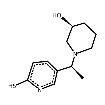 C[C@@H](c1ccc(S)nc1)N1CCC[C@H](O)C1